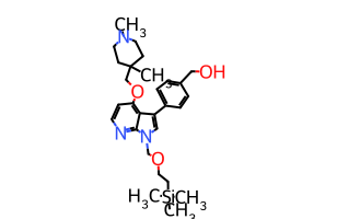 CN1CCC(C)(COc2ccnc3c2c(-c2ccc(CO)cc2)cn3COCC[Si](C)(C)C)CC1